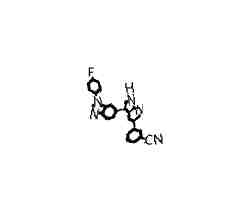 N#Cc1cccc(-c2cnc3[nH]cc(-c4ccc5ncn(-c6ccc(F)cc6)c5c4)c3c2)c1